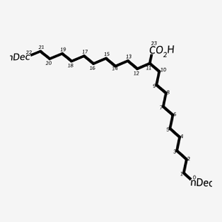 CCCCCCCCCCCCCCCCCCCCC(CCCCCCCCCCCCCCCCCCCC)C(=O)O